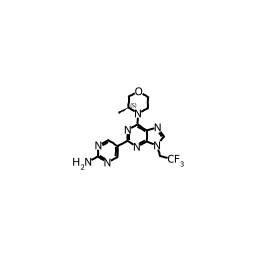 C[C@H]1COCCN1c1nc(-c2cnc(N)nc2)nc2c1ncn2CC(F)(F)F